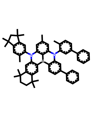 Cc1cc2c3c(c1)N(c1cc4c(cc1C)C(C)(C)CC4(C)C)c1cc4c(cc1B3c1ccc(-c3ccccc3)cc1N2c1cc(-c2ccccc2)ccc1C)C(C)(C)CCC4(C)C